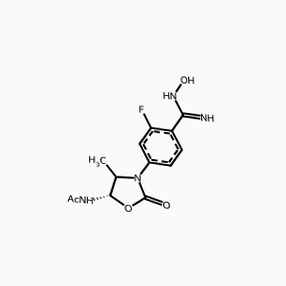 CC(=O)N[C@H]1OC(=O)N(c2ccc(C(=N)NO)c(F)c2)C1C